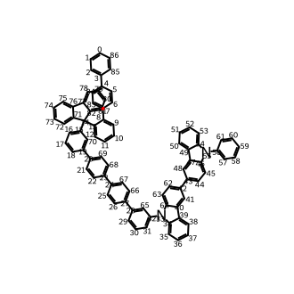 c1ccc(-c2ccc(-c3ccccc3C3(c4cccc(-c5ccc(-c6ccc(-c7cccc(-n8c9ccccc9c9cc(-c%10ccc%11c(c%10)c%10ccccc%10n%11-c%10ccccc%10)ccc98)c7)cc6)cc5)c4)c4ccccc4-c4ccccc43)cc2)cc1